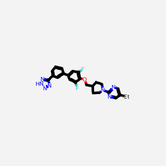 CCc1cnc(N2CCC(COc3c(F)cc(-c4cccc(-c5nn[nH]n5)c4)cc3F)CC2)nc1